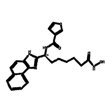 O=C(CCCCC[C@H](NC(=O)c1ccoc1)c1nc2c(ccc3ccccc32)[nH]1)NO